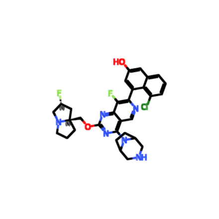 Oc1cc(-c2ncc3c(N4C5CCC4CNC5)nc(OC[C@@]45CCCN4C[C@H](F)C5)nc3c2F)c2c(Cl)cccc2c1